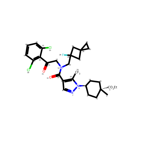 CCOC(=O)[C@]1(C)CC[C@@H](n2ncc(C(=O)N(CC(=O)c3c(Cl)cccc3Cl)CC3(F)CC4(CC4)C3)c2C(F)(F)F)CC1